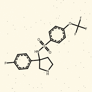 O=S(=O)(NC1(c2ccc(F)cc2)CCNC1)c1ccc(OC(F)(F)F)cc1